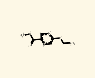 CCOc1cnc(C(=O)OC)cn1